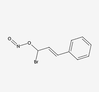 O=NOC(Br)/C=C/c1ccccc1